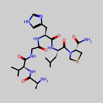 CC(C)C[C@H](NC(=O)[C@H](Cc1c[nH]cn1)NC(=O)CNC(=O)[C@@H](NC(=O)[C@H](C)N)C(C)C)C(=O)N1CSC[C@H]1C(N)=O